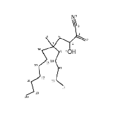 C=C(C#N)C(O)CC(C)(CCCCC)CCCCCCC